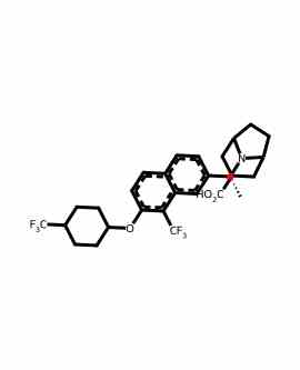 C[C@H](c1ccc2ccc(OC3CCC(C(F)(F)F)CC3)c(C(F)(F)F)c2c1)N1C2CCC1CC(C(=O)O)C2